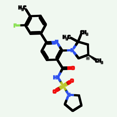 Cc1ccc(-c2ccc(C(=O)NS(=O)(=O)N3CCCC3)c(N3C[C@@H](C)CC3(C)C)n2)cc1F